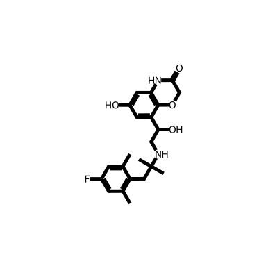 Cc1cc(F)cc(C)c1CC(C)(C)NCC(O)c1cc(O)cc2c1OCC(=O)N2